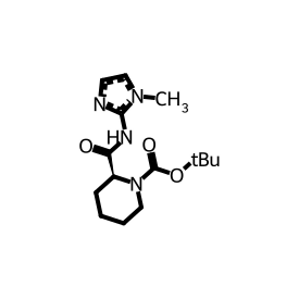 Cn1ccnc1NC(=O)[C@@H]1CCCCN1C(=O)OC(C)(C)C